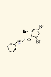 Brc1cc(Br)c(OC/C=C/c2ccccc2)c(Br)c1